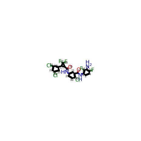 Nc1c(F)ccc(NC(=O)c2cc(NC(=O)C3C(c4cc(Cl)cc(Cl)c4)C3(F)F)ccc2Cl)c1F